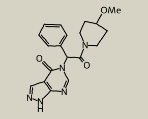 COC1CCN(C(=O)C(c2ccccc2)n2cnc3[nH]ncc3c2=O)CC1